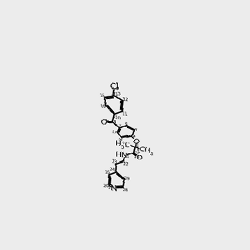 CC(C)(Oc1ccc(C(=O)c2ccc(Cl)cc2)cc1)C(=O)NCCc1ccncc1